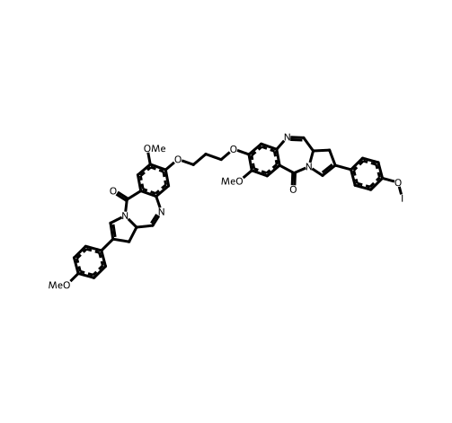 COc1ccc(C2=CN3C(=O)c4cc(OC)c(OCCCOc5cc6c(cc5OC)C(=O)N5C=C(c7ccc(OI)cc7)CC5C=N6)cc4N=CC3C2)cc1